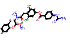 N=C(N)Nc1ccc(C(=O)Oc2cc(Cl)c(CC(=O)N(N)[C@@H](Cc3ccccc3)C(=O)ON)c(Cl)c2)cc1